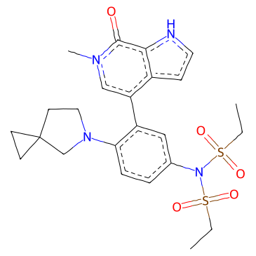 CCS(=O)(=O)N(c1ccc(N2CCC3(CC3)C2)c(-c2cn(C)c(=O)c3[nH]ccc23)c1)S(=O)(=O)CC